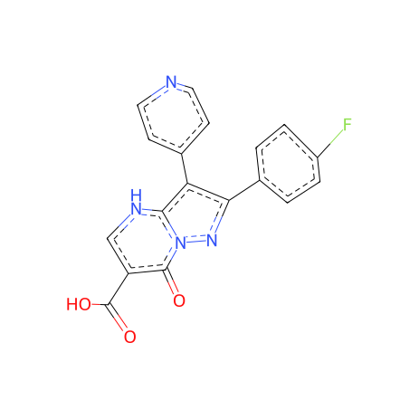 O=C(O)c1c[nH]c2c(-c3ccncc3)c(-c3ccc(F)cc3)nn2c1=O